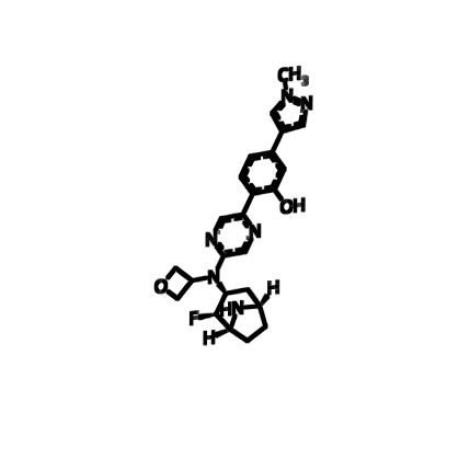 Cn1cc(-c2ccc(-c3cnc(N(C4COC4)[C@H]4C[C@@H]5CC[C@@H](N5)[C@H]4F)cn3)c(O)c2)cn1